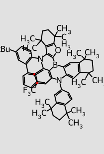 CC(C)(C)c1ccc(N2c3cc(C(F)(F)F)cc4c3B(c3cc5c(cc3N4c3ccc4c(c3)C(C)(C)CCC4(C)C)C(C)(C)CCC5(C)C)c3oc4c(c32)C(C)(C)CCC4(C)C)c(-c2ccccc2)c1